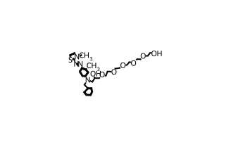 Cc1cc(N(Cc2ccccc2)CC(O)COCCOCCOCCOCCOCCO)ccc1/N=N/c1scc[n+]1C